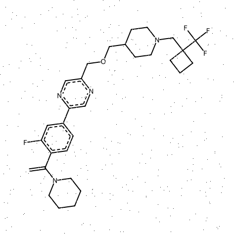 C=C(c1ccc(-c2cnc(COCC3CCN(CC4(C(F)(F)F)CCC4)CC3)cn2)cc1F)N1CCCCC1